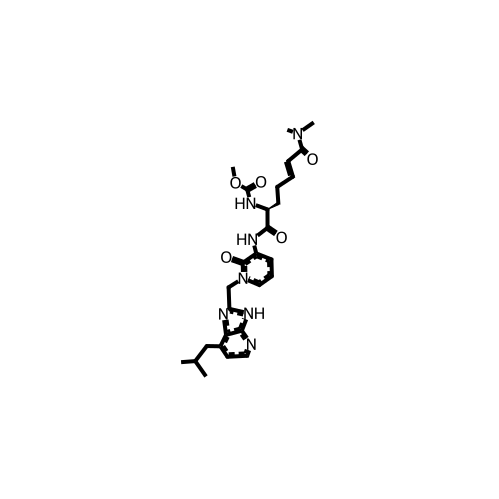 COC(=O)N[C@@H](CC/C=C/C(=O)N(C)C)C(=O)Nc1cccn(Cc2nc3c(CC(C)C)ccnc3[nH]2)c1=O